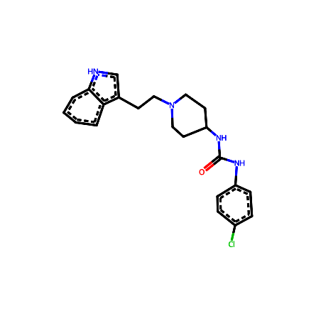 O=C(Nc1ccc(Cl)cc1)NC1CCN(CCc2c[nH]c3ccccc23)CC1